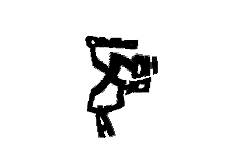 COCC1(CO)CCNCC1.Cl